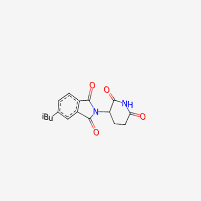 CCC(C)c1ccc2c(c1)C(=O)N(C1CCC(=O)NC1=O)C2=O